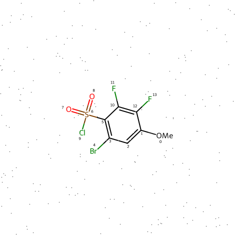 COc1cc(Br)c(S(=O)(=O)Cl)c(F)c1F